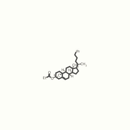 CCC(=O)O[C@H]1CC[C@@]2(C)C(=CC[C@@H]3[C@@H]2CC[C@]2(C)C([C@H](C)CCCC(C)C)CC[C@@H]32)C1